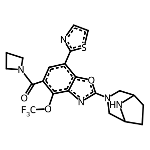 O=C(c1cc(-c2nccs2)c2oc(N3CC4CCC(C3)N4)nc2c1OC(F)(F)F)N1CCC1